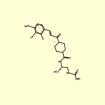 CSc1ccc(/C=C/C(=O)N2CCC(C(=O)N[C@@H](CNC(=O)OCC(C)C)C(=O)O)CC2)c(Cl)c1Cl